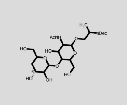 CCCCCCCCCCC(C)COC1OC(CO)C(OC2OC(CO)C[C@@H](O)C2O)C(O)C1NC(C)=O